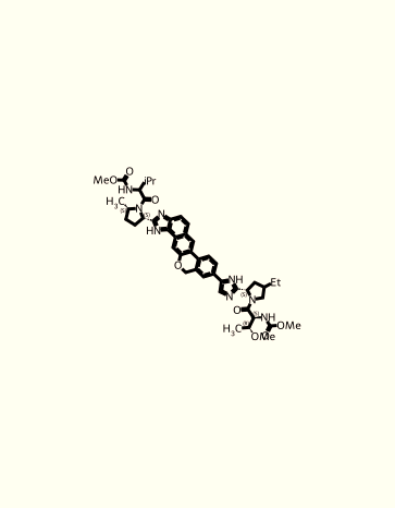 CCC1C[C@@H](c2ncc(-c3ccc4c(c3)COc3cc5c(ccc6nc([C@@H]7CC[C@H](C)N7C(=O)C(NC(=O)OC)C(C)C)[nH]c65)cc3-4)[nH]2)N(C(=O)[C@@H](NC(=O)OC)[C@@H](C)OC)C1